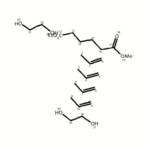 C=CC.C=CC.C=CC.C=CC.CCOC(=O)CCCCC(=O)OC.OCCO.OCCO